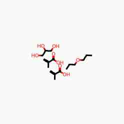 C=C(C)C(=O)O.C=C(C)C(=O)O.CCCOCCC.OCC(O)CO